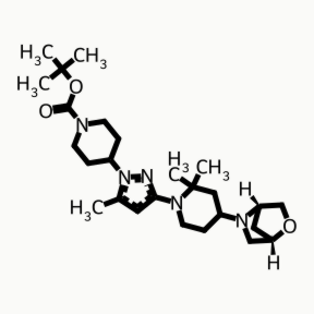 Cc1cc(N2CCC(N3C[C@@H]4C[C@H]3CO4)CC2(C)C)nn1C1CCN(C(=O)OC(C)(C)C)CC1